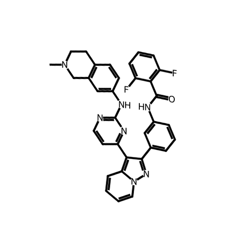 CN1CCc2ccc(Nc3nccc(-c4c(-c5cccc(NC(=O)c6c(F)cccc6F)c5)nn5ccccc45)n3)cc2C1